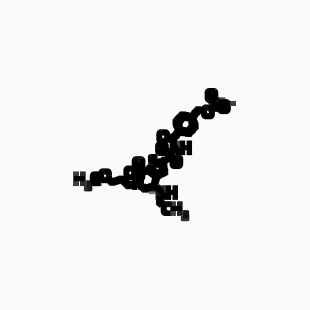 CCN[C@H]1CN(CCCOC)S(=O)(=O)c2sc(S(=O)(=O)NC(=O)c3ccc(CO[N+](=O)[O-])cc3)cc21